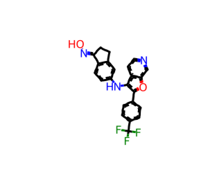 O/N=C1\CCc2cc(Nc3c(-c4ccc(C(F)(F)F)cc4)oc4cnccc34)ccc21